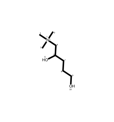 C[N+](C)(C)CC(O)C[CH]CO